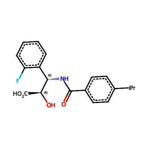 CC(C)c1ccc(C(=O)N[C@@H](c2ccccc2F)[C@@H](O)C(=O)O)cc1